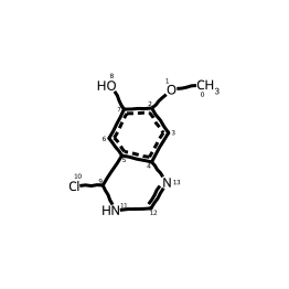 COc1cc2c(cc1O)C(Cl)NC=N2